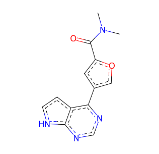 CN(C)C(=O)c1cc(-c2ncnc3[nH]ccc23)co1